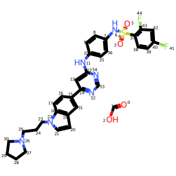 O=CO.O=S(=O)(Nc1ccc(Nc2cc(-c3ccc4c(ccn4CCCN4CCCC4)c3)ncn2)cc1)c1ccc(F)cc1F